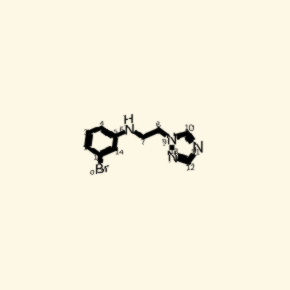 Brc1cccc(NCCn2cncn2)c1